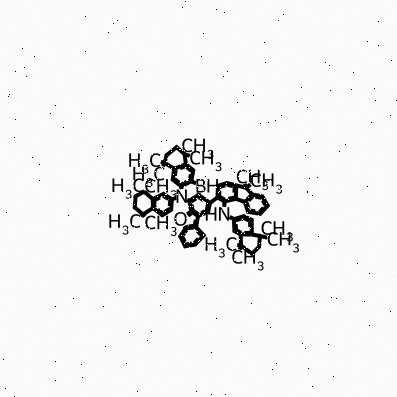 CC1(C)CCC(C)(C)c2cc(Nc3c(-c4cc5c(oc6ccccc65)c5c4Bc4cc6c(cc4N5c4ccc5c(c4)C(C)(C)CCC5(C)C)C(C)(C)CCC6(C)C)ccc4c3-c3ccccc3C4(C)C)ccc21